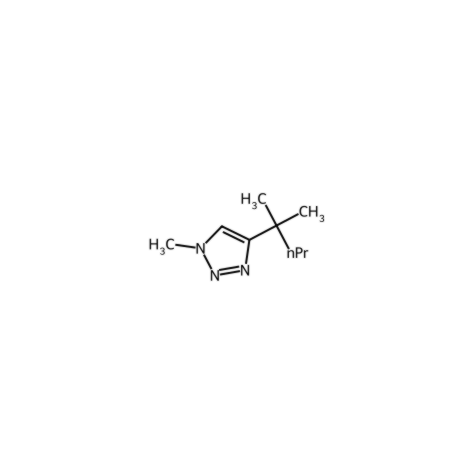 CCCC(C)(C)c1cn(C)nn1